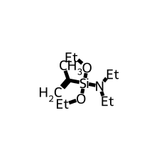 C=C(C)[Si](OCC)(OCC)N(CC)CC